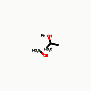 CC(O)C(=O)O.O=S(=O)(O)O.[Fe]